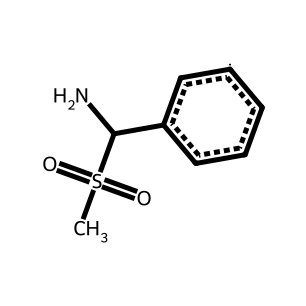 CS(=O)(=O)C(N)c1c[c]ccc1